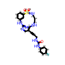 O=C(NCC#Cc1cnc2nc1NCCCNS(=O)(=O)c1cccc(c1)N2)Nc1ccc(F)cc1